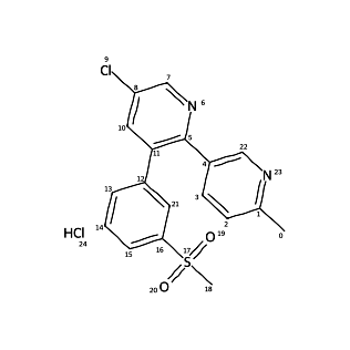 Cc1ccc(-c2ncc(Cl)cc2-c2cccc(S(C)(=O)=O)c2)cn1.Cl